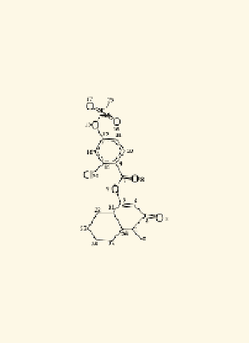 CC1C(=O)C=C(OC(=O)c2ccc(OS(C)(=O)=O)cc2Cl)C2CCCCC12